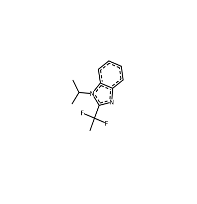 CC(C)n1c(C(C)(F)F)nc2ccccc21